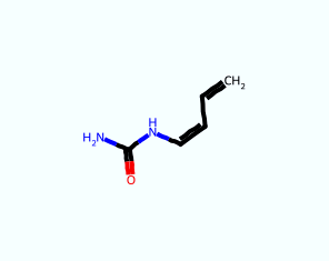 C=C/C=C\NC(N)=O